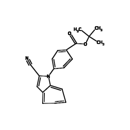 CC(C)(C)OC(=O)c1ccc(-n2c(C#N)cc3ccccc32)cc1